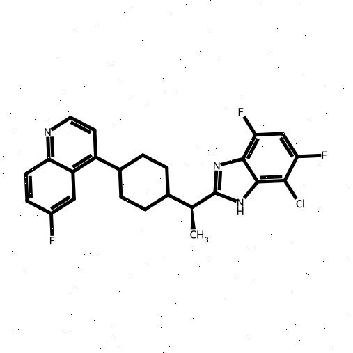 C[C@H](c1nc2c(F)cc(F)c(Cl)c2[nH]1)C1CCC(c2ccnc3ccc(F)cc23)CC1